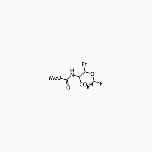 CCC(OC(F)F)C(NC(=O)OC)C(=O)O